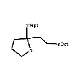 CCCCCCCCCCC1(CCCCCCC)CCCN1